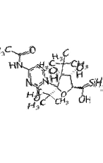 CC(=O)Nc1ccn([C@]2(C(C)(C)C)O[C@H](C(O)=[SiH2])[C@@H](O)[C@]2(O)C(C)(C)C)c(=O)n1